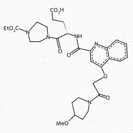 CCOC(=O)N1CCN(C(=O)[C@H](CCC(=O)O)NC(=O)c2cc(OCC(=O)N3CCC(OC)CC3)c3ccccc3n2)CC1